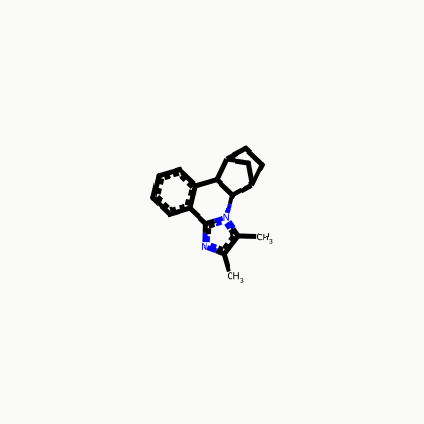 Cc1nc2n(c1C)C1C3CCC(C3)C1c1ccccc1-2